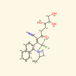 CC1CCN1c1c(/C(=C(\C#N)C(=O)CCC(O)C(O)CO)C(F)(F)F)ccc2ccccc12